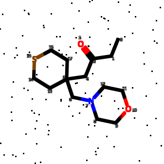 CCC(=O)CC1(CN2CCOCC2)CCSCC1